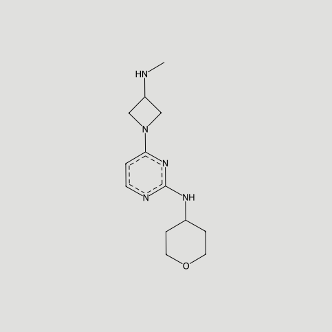 CNC1CN(c2ccnc(NC3CCOCC3)n2)C1